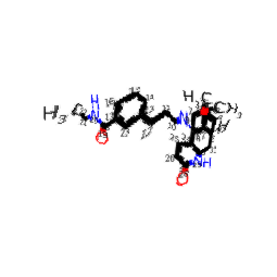 C/C=C1\[C@H]2C=C(C)C[C@]1(/N=C/C=C/c1cccc(C(=O)NCC)c1)c1ccc(=O)[nH]c1C2